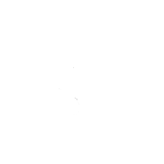 FCCCN1CC(Nc2ccccn2)C1